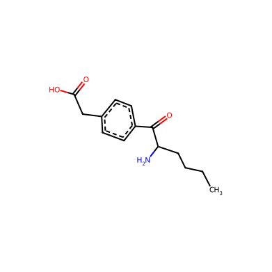 CCCCC(N)C(=O)c1ccc(CC(=O)O)cc1